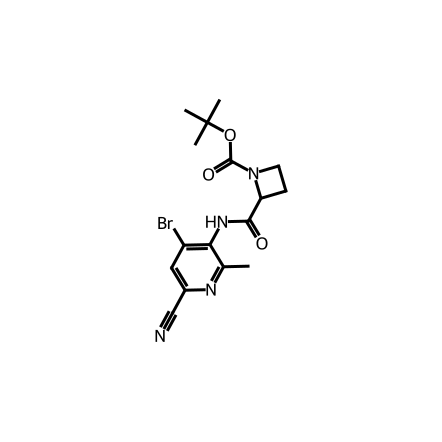 Cc1nc(C#N)cc(Br)c1NC(=O)C1CCN1C(=O)OC(C)(C)C